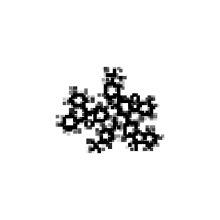 CC(C)(C)c1ccc(N2B3c4cc5oc(-c6ccccc6)c(-c6ccccc6)c5cc4-n4c5ccc(C(C)(C)C)cc5c5c6oc7ccccc7c6c(c3c54)-c3cc4c(cc32)C(C)(C)c2ccccc2-4)cc1